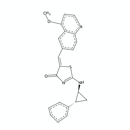 COc1ccnc2ccc(/C=C3\SC(N[C@H]4C[C@@H]4c4ccccc4)=NC3=O)cc12